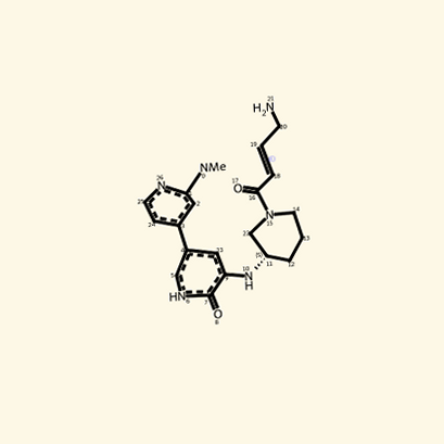 CNc1cc(-c2c[nH]c(=O)c(N[C@H]3CCCN(C(=O)/C=C/CN)C3)c2)ccn1